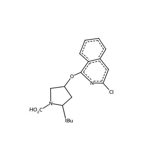 CC(C)(C)C1CC(Oc2nc(Cl)cc3ccccc23)CN1C(=O)O